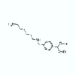 CCOC(OCC)c1ccc(CNCCCCCCN)cc1